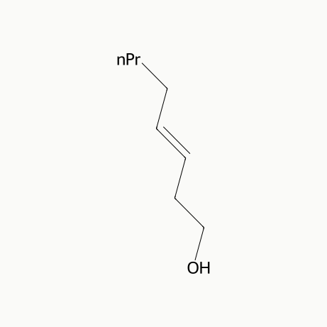 [CH2]CCCC=CCCO